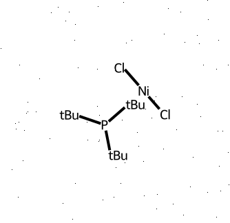 CC(C)(C)P(C(C)(C)C)C(C)(C)C.[Cl][Ni][Cl]